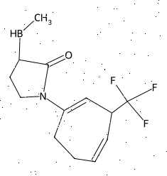 CBC1CCN(C2=CC(C(F)(F)F)C=CCC2)C1=O